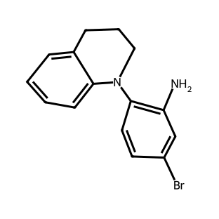 Nc1cc(Br)ccc1N1CCCc2ccccc21